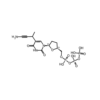 CC(C#CN)c1cn([C@H]2CC[C@@H](COP(=O)(O)OP(=O)(O)OP(=O)(O)O)O2)c(=O)[nH]c1=O